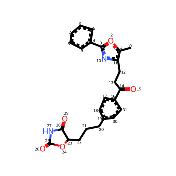 Cc1oc(-c2ccccc2)nc1CCC(=O)c1ccc(CCCC2OC(=O)NC2=O)cc1